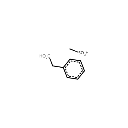 CS(=O)(=O)O.O=C(O)Cc1ccccc1